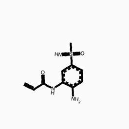 C=CC(=O)Nc1cc(S(C)(=N)=O)ccc1N